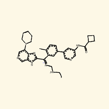 CCNC/N=C(/c1nc2c(N3CCCCC3)cncc2[nH]1)c1cc(-c2cncc(NC(=O)C3CCC3)c2)ccc1C